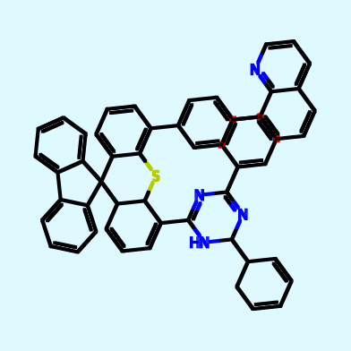 C1=CCC(C2N=C(c3ccccc3)N=C(C3=CC=CC4C3Sc3c(-c5ccc(-c6cccc7cccnc67)cc5)cccc3C43c4ccccc4-c4ccccc43)N2)C=C1